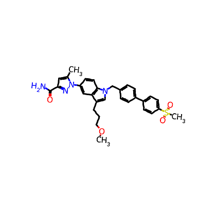 COCCCc1cn(Cc2ccc(-c3ccc(S(C)(=O)=O)cc3)cc2)c2ccc(-n3nc(C(N)=O)cc3C)cc12